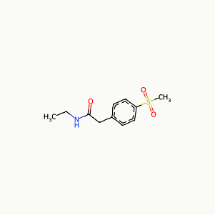 CCNC(=O)Cc1ccc(S(C)(=O)=O)cc1